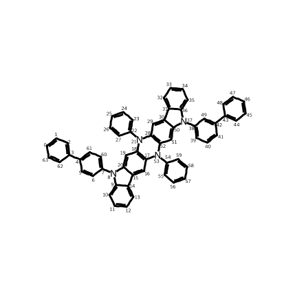 c1ccc(-c2ccc(-n3c4ccccc4c4cc5c(cc43)N(c3ccccc3)c3cc4c6ccccc6n(-c6cccc(-c7ccccc7)c6)c4cc3N5c3ccccc3)cc2)cc1